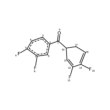 O=C(c1ccc(F)c(F)c1)C1C=C(F)C(F)=CC1